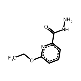 NNC(=O)c1cccc(OCC(F)(F)F)n1